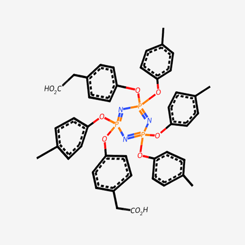 Cc1ccc(OP2(Oc3ccc(C)cc3)=NP(Oc3ccc(C)cc3)(Oc3ccc(CC(=O)O)cc3)=NP(Oc3ccc(C)cc3)(Oc3ccc(CC(=O)O)cc3)=N2)cc1